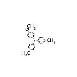 COc1ccc([C](c2ccc(C)cc2)c2ccc(C)cc2)cc1